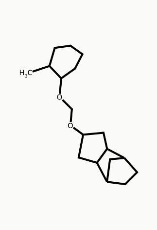 CC1CCCCC1OCOC1CC2C3CCC(C3)C2C1